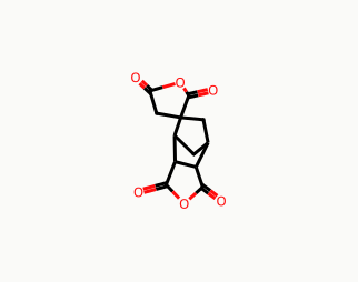 O=C1CC2(CC3CC2C2C(=O)OC(=O)C32)C(=O)O1